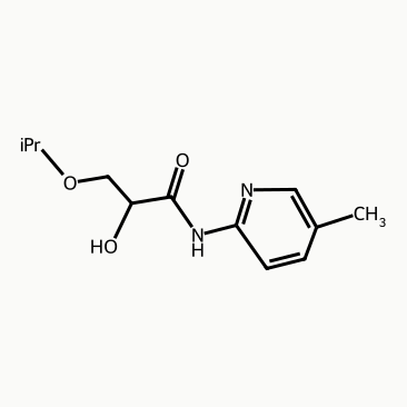 Cc1ccc(NC(=O)C(O)COC(C)C)nc1